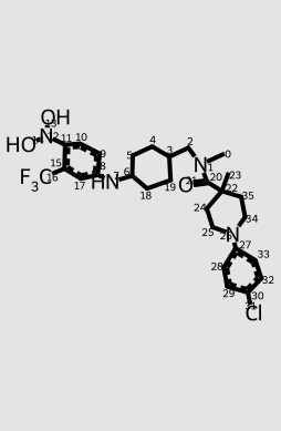 CN(CC1CCC(Nc2ccc(N(O)O)c(C(F)(F)F)c2)CC1)C(=O)C1(C)CCN(c2ccc(Cl)cc2)CC1